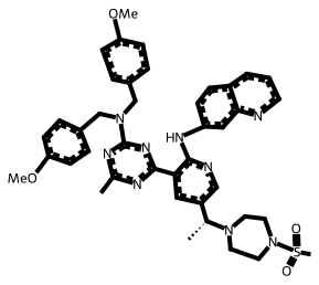 COc1ccc(CN(Cc2ccc(OC)cc2)c2nc(C)nc(-c3cc([C@@H](C)N4CCN(S(C)(=O)=O)CC4)cnc3Nc3ccc4cccnc4c3)n2)cc1